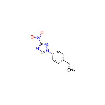 C=Cc1ccc(-n2cnc([N+](=O)[O-])n2)cc1